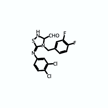 O=CC1NSC(=Nc2ccc(Cl)c(Cl)c2)N1Cc1ccc(F)c(F)c1